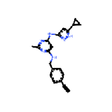 C#Cc1ccc(CNc2cc(Nc3cc(C4CC4)[nH]n3)nc(C)n2)cc1